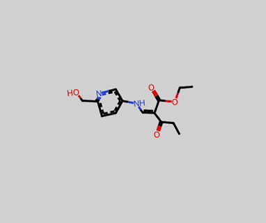 CCOC(=O)C(=CNc1ccc(CO)nc1)C(=O)CC